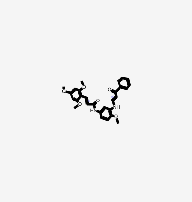 COc1cc(OC)c(/C=C/C(=O)Nc2ccc(OC)c(N/C=C/C(=O)c3ccccc3)c2)c(OC)c1